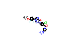 COc1ccc(-c2cnc(C(=O)Nc3ccc(C(=O)N4CCC(N)C4)c(Cl)c3)n2C)c(F)c1F